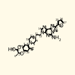 C[C@H](Oc1ccc(N2CCN(CCn3cnc4c3nc(N)n3nc(-c5ccco5)nc43)CC2)c(F)c1)C(=O)O